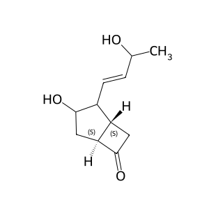 CC(O)C=CC1C(O)C[C@@H]2C(=O)C[C@@H]12